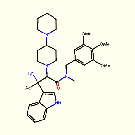 COc1cc(CN(C)C(=O)C(N2CCC(N3CCCCC3)CC2)C(N)(C(C)=O)c2c[nH]c3ccccc23)cc(OC)c1OC